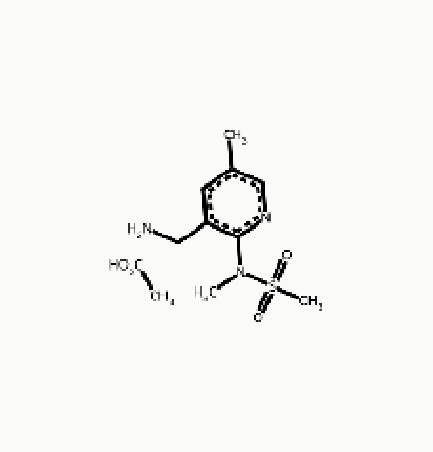 CC(=O)O.Cc1cnc(N(C)S(C)(=O)=O)c(CN)c1